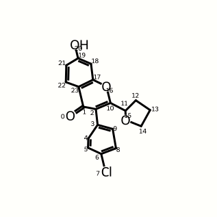 O=c1c(-c2ccc(Cl)cc2)c(C2CCCO2)oc2cc(O)ccc12